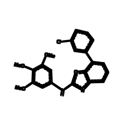 COc1cc(Nc2nc3cccc(-c4cccc(Cl)c4)c3o2)cc(OC)c1OC